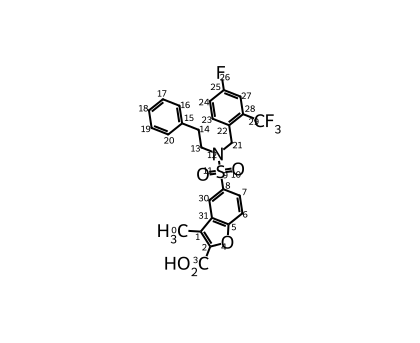 Cc1c(C(=O)O)oc2ccc(S(=O)(=O)N(CCc3ccccc3)Cc3ccc(F)cc3C(F)(F)F)cc12